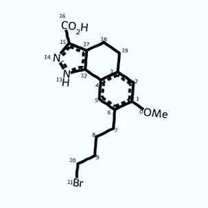 COc1cc2c(cc1CCCCBr)-c1[nH]nc(C(=O)O)c1CC2